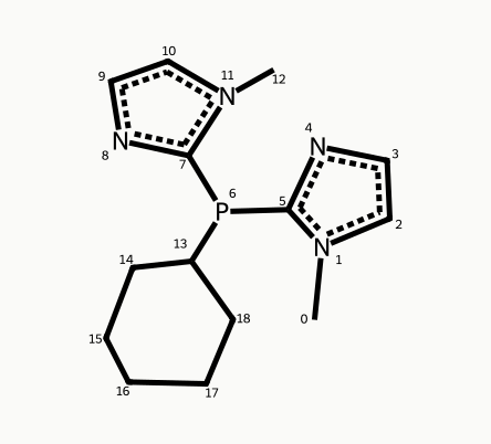 Cn1ccnc1P(c1nccn1C)C1CCCCC1